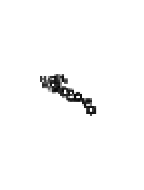 CC(C)(C)OC(=O)N1CCC2(C=Cc3cc(NCc4ccccc4)ccc3O2)CC1